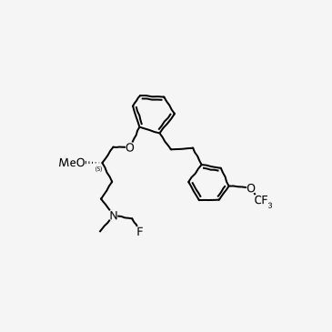 CO[C@@H](CCN(C)CF)COc1ccccc1CCc1cccc(OC(F)(F)F)c1